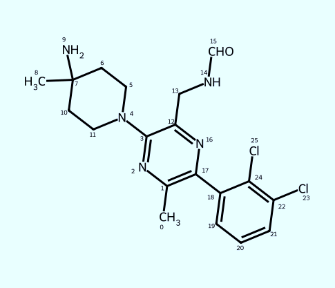 Cc1nc(N2CCC(C)(N)CC2)c(CNC=O)nc1-c1cccc(Cl)c1Cl